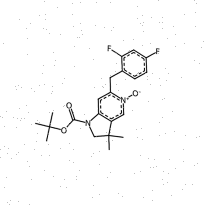 CC(C)(C)OC(=O)N1CC(C)(C)c2c[n+]([O-])c(Cc3ccc(F)cc3F)cc21